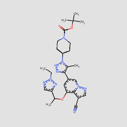 CCn1ncc(C(C)Oc2cc(-c3nnn(C4CCN(C(=O)OC(C)(C)C)CC4)c3C)cn3ncc(C#N)c23)n1